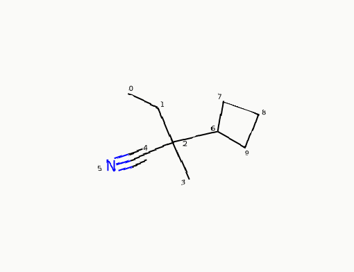 CCC(C)(C#N)C1CCC1